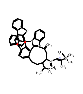 C=C1CC([N+](=C)/C=C(\C)[Si](C)(C)C)C(C(C)C)CCc2ccc3c(oc4ccccc43)c2-c2n(-c3cccc4c3oc3ccccc34)c3ccccc3[n+]21